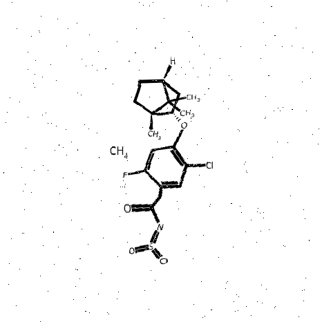 C.CC1(C)[C@@H]2CC[C@@]1(C)[C@@H](Oc1cc(F)c(C(=O)N=S(=O)=O)cc1Cl)C2